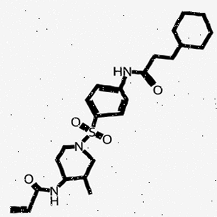 C=CC(=O)NC1CCN(S(=O)(=O)c2ccc(NC(=O)CCC3CCCCC3)cc2)CC1C